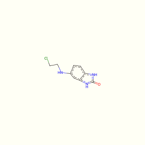 O=c1[nH]c2ccc(NCCCl)cc2[nH]1